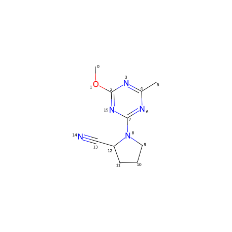 COc1nc(C)nc(N2CCCC2C#N)n1